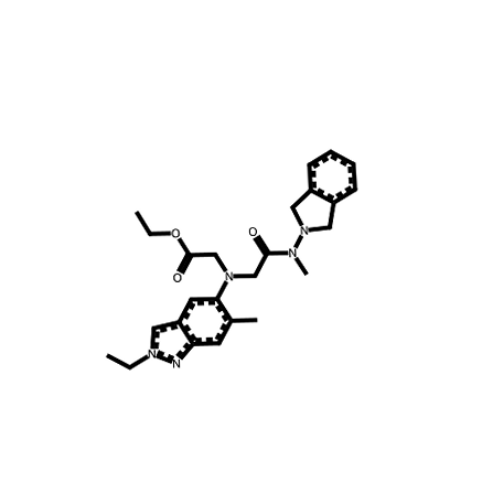 CCOC(=O)CN(CC(=O)N(C)N1Cc2ccccc2C1)c1cc2cn(CC)nc2cc1C